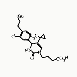 CC(C)(C)CCc1ccc(C2NC(=O)N(CCCC(=O)O)C=C2C2(C)CC2)cc1Cl